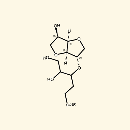 CCCCCCCCCCCCC(O[C@H]1CO[C@H]2[C@@H]1OC[C@H]2O)C(O)CO